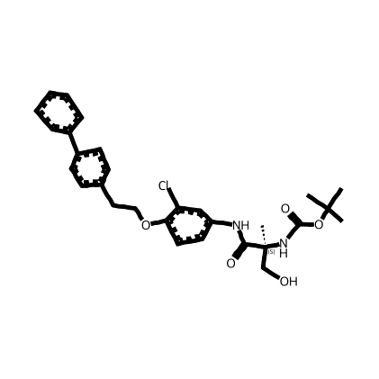 CC(C)(C)OC(=O)N[C@@](C)(CO)C(=O)Nc1ccc(OCCc2ccc(-c3ccccc3)cc2)c(Cl)c1